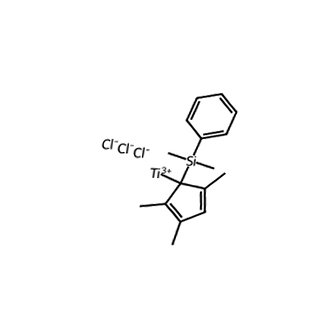 CC1=CC(C)=C(C)[C]1([Ti+3])[Si](C)(C)c1ccccc1.[Cl-].[Cl-].[Cl-]